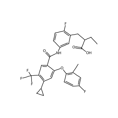 CCC(Cc1cc(NC(=O)c2cc(C(F)(F)F)c(C3CC3)cc2Oc2ccc(F)cc2C)ccc1F)C(=O)O